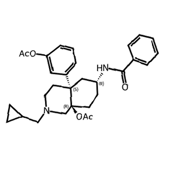 CC(=O)Oc1cccc([C@@]23CCN(CC4CC4)C[C@@]2(OC(C)=O)CC[C@@H](NC(=O)c2ccccc2)C3)c1